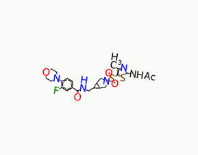 CC(=O)Nc1nc(C)c(S(=O)(=O)N2CC3C(CNC(=O)c4ccc(N5CCOCC5)c(F)c4)C3C2)s1